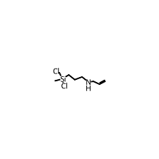 C=CCNCCC[Si](C)(Cl)Cl